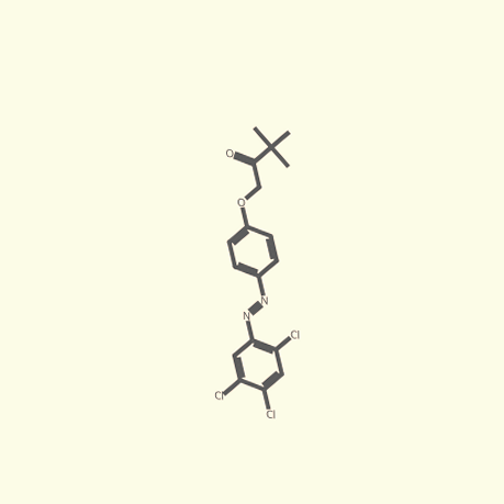 CC(C)(C)C(=O)COc1ccc(N=Nc2cc(Cl)c(Cl)cc2Cl)cc1